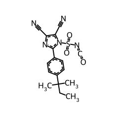 CCC(C)(C)c1ccc(-c2nc(C#N)c(C#N)n2S(=O)(=O)N=C=O)cc1